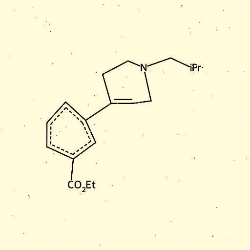 CCOC(=O)c1cccc(C2=CCN(C[C](C)C)CC2)c1